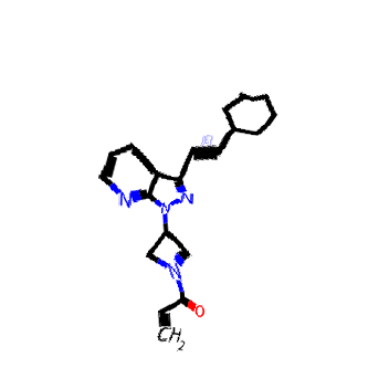 C=CC(=O)N1CC(n2nc(/C=C/C3CCCCC3)c3cccnc32)C1